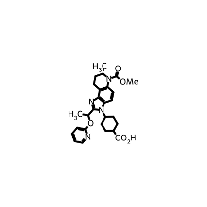 COC(=O)N1c2ccc3c(nc(C(C)Oc4ccccn4)n3C3CCC(C(=O)O)CC3)c2CC[C@@H]1C